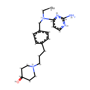 CC(C)(C)CN(Cc1ccc(CCCN2CCC(=O)CC2)cc1)c1ccnc(N)n1